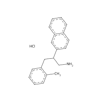 Cc1ccccc1CC(CN)c1ccc2ccccc2c1.Cl